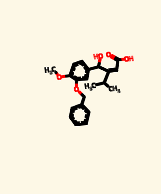 COc1ccc(C(O)/C(=C\C(=O)O)C(C)C)cc1OCc1ccccc1